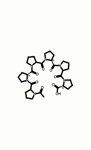 CC(=O)N1CCCC1C(=O)N1CCC[C@H]1C(=O)N1CCCC1C(=O)N1CCC[C@H]1C(=O)N1CCCC1C(=O)N1CCC[C@H]1C(=O)O